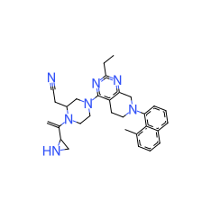 C=C(C1CN1)N1CCN(c2nc(CC)nc3c2CCN(c2cccc4cccc(C)c24)C3)CC1CC#N